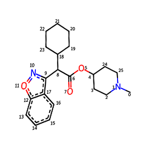 CN1CCC(OC(=O)C(c2noc3ccccc23)C2CCCCC2)CC1